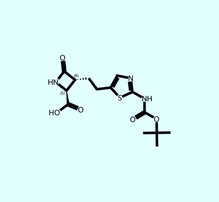 CC(C)(C)OC(=O)Nc1ncc(CC[C@H]2C(=O)N[C@@H]2C(=O)O)s1